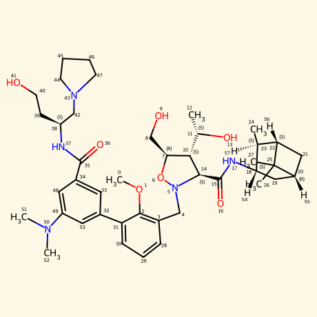 COc1c(CN2O[C@@H](CO)[C@H]([C@H](C)O)[C@H]2C(=O)N[C@H]2C[C@H]3C[C@@H]([C@@H]2C)C3(C)C)cccc1-c1cc(C(=O)N[C@@H](CCO)CN2CCCC2)cc(N(C)C)c1